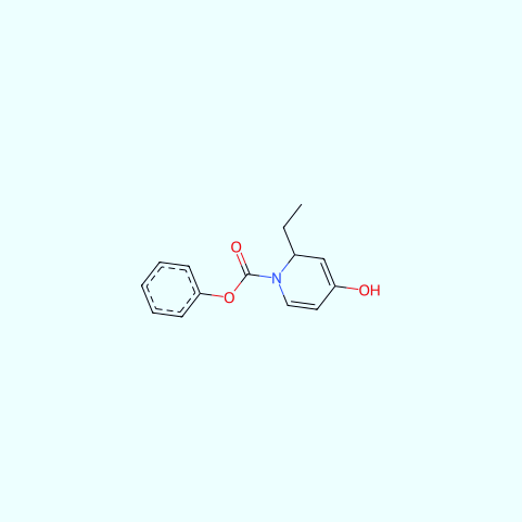 CCC1C=C(O)C=CN1C(=O)Oc1ccccc1